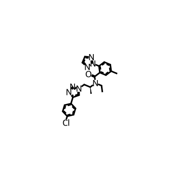 CCN(C(=O)c1cc(C)ccc1-n1nccn1)[C@@H](C)Cn1cc(-c2ccc(Cl)cc2)nn1